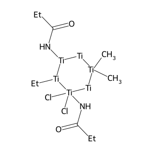 CCC(=O)[NH][Ti]1[Ti][Ti]([CH3])([CH3])[Ti][Ti]([Cl])([Cl])([NH]C(=O)CC)[Ti]1[CH2]C